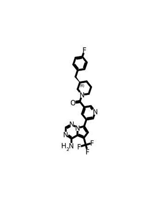 Nc1ncnn2c(-c3cncc(C(=O)N4CCC[C@H](Cc5ccc(F)cc5)C4)c3)cc(C(F)(F)F)c12